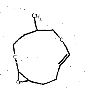 CC1CC/C=C/CCC2OC2CCC1